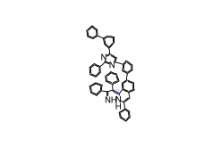 N=C(/C(=C1\NC(c2ccccc2)=Cc2ccc(-c3cccc(-c4cc(-c5cccc(-c6ccccc6)c5)nc(-c5ccccc5)n4)c3)cc21)c1ccccc1)c1ccccc1